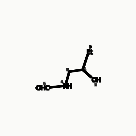 CCC(O)CN[C]=O